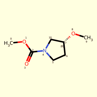 COC(=O)N1C[CH][C@@H](OC)C1